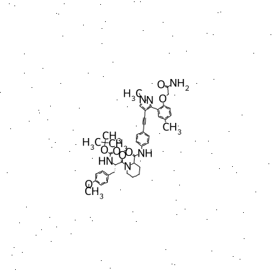 COc1ccc(C[C@H](NC(=O)OC(C)(C)C)C(=O)N2CCCCC2C(=O)Nc2ccc(C#Cc3cn(C)nc3-c3cc(C)ccc3OCC(N)=O)cc2)cc1